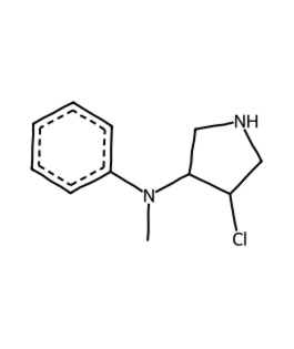 CN(c1ccccc1)C1CNCC1Cl